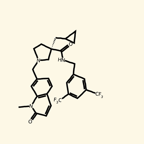 Cn1c(=O)ccc2ccc(CN3CC[C@@](CC4CC4)(C(=O)NCc4cc(C(F)(F)F)cc(C(F)(F)F)c4)C3)cc21